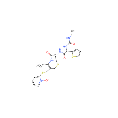 N#CCNC(=O)NC(C(=O)N[C@H]1C(=O)N2C(C(=O)O)=C(CSc3cccc[n+]3[O-])CSC12)c1cccs1